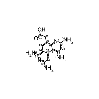 Nc1nc(N)c2c(n1)c(CC(=O)O)cc1c(N)nc(N)nc12